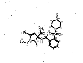 CCCC1=CC(NC(=O)c2ccccc2S(=O)(=O)N2CCN(C)CC2)(C(N)=O)N(C)N1OCC